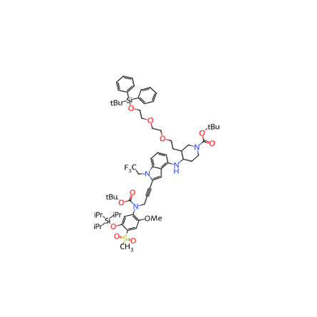 COc1cc(S(C)(=O)=O)c(O[Si](C(C)C)(C(C)C)C(C)C)cc1N(CC#Cc1cc2c(NC3CCN(C(=O)OC(C)(C)C)CC3CCOCCOCCO[Si](c3ccccc3)(c3ccccc3)C(C)(C)C)cccc2n1CC(F)(F)F)C(=O)OC(C)(C)C